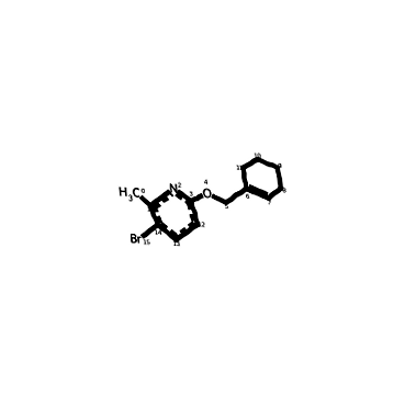 Cc1nc(OCC2=CCCCC2)ccc1Br